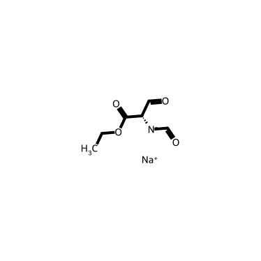 CCOC(=O)[C@H](C=O)[N-]C=O.[Na+]